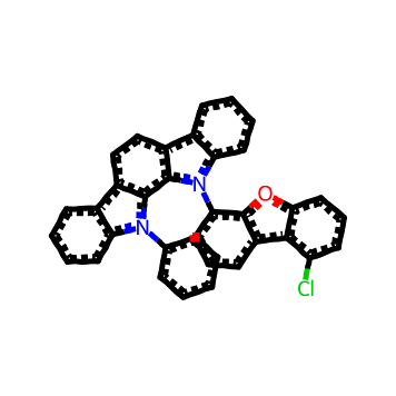 Clc1cccc2oc3c(-n4c5ccccc5c5ccc6c7ccccc7n(-c7ccccc7)c6c54)cccc3c12